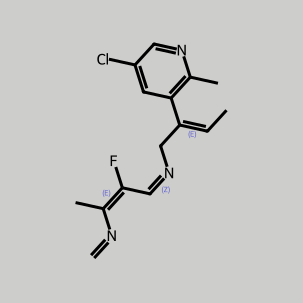 C=N/C(C)=C(F)\C=N/C/C(=C/C)c1cc(Cl)cnc1C